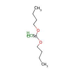 CCCC[O][Sn][O]CCCC.Cl.Cl